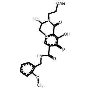 COCCN1C(=O)c2c(O)c(=O)c(C(=O)NCc3ccccc3OC(F)(F)F)cn2CC1O